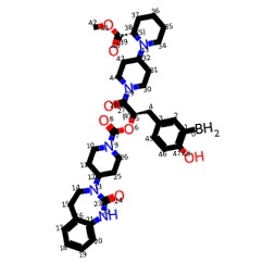 Bc1cc(C[C@@H](OC(=O)N2CCC(N3CCc4ccccc4NC3=O)CC2)C(=O)N2CCC(N3CCCC[C@H]3C(=O)OC)CC2)ccc1O